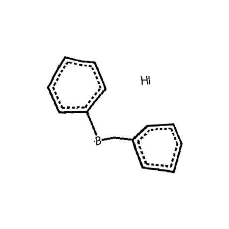 I.[B](c1ccccc1)c1ccccc1